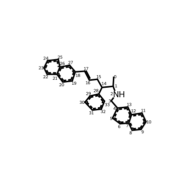 CC(NCc1ccc2ccccc2c1)C(CC=Cc1ccc2ccccc2c1)c1ccccc1